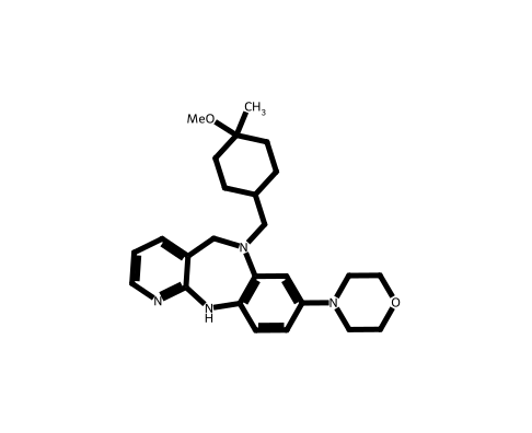 COC1(C)CCC(CN2Cc3cccnc3Nc3ccc(N4CCOCC4)cc32)CC1